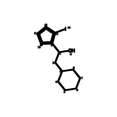 OC(CC1CCCCC1)c1sccc1I